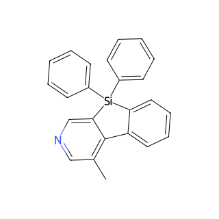 Cc1cncc2c1-c1ccccc1[Si]2(c1ccccc1)c1ccccc1